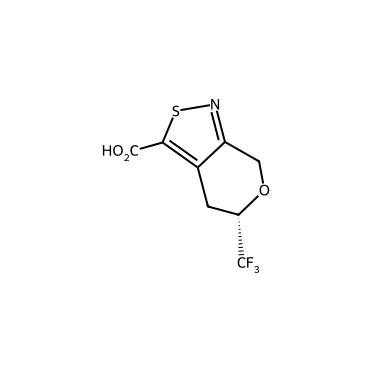 O=C(O)c1snc2c1C[C@@H](C(F)(F)F)OC2